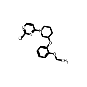 CCOc1ccccc1OC1CCCN(c2ccnc(Cl)n2)C1